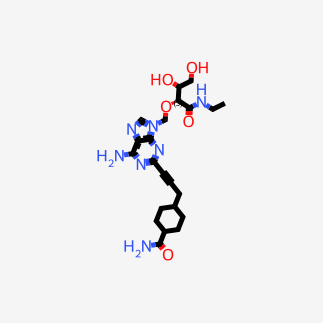 CCNC(=O)[C@@H](OCn1cnc2c(N)nc(C#CCC3CCC(C(N)=O)CC3)nc21)C(O)CO